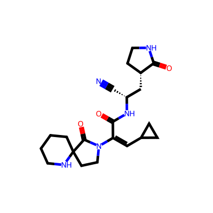 N#C[C@H](C[C@@H]1CCNC1=O)NC(=O)C(=CC1CC1)N1CCC2(CCCCN2)C1=O